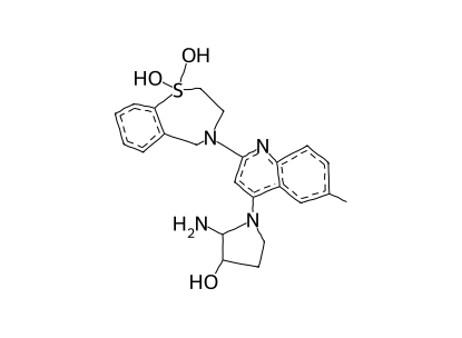 Cc1ccc2nc(N3CCS(O)(O)c4ccccc4C3)cc(N3CCC(O)C3N)c2c1